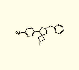 O=[N+]([O-])c1ccc(C2CN(Cc3ccccc3)CC23CNC3)cc1